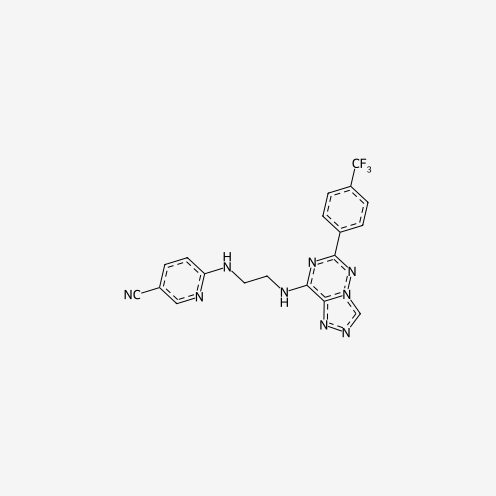 N#Cc1ccc(NCCNc2nc(-c3ccc(C(F)(F)F)cc3)nn3cnnc23)nc1